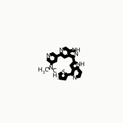 CN(C)c1cncc(-c2cc3c(-c4cc5c(-c6cccs6)nccc5[nH]4)n[nH]c3cn2)c1